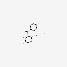 COCOc1ccc(C(C)C)c(F)c1C(=O)c1ccc(C(=O)O)cc1